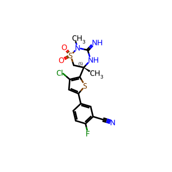 CN1C(=N)N[C@](C)(c2sc(-c3ccc(F)c(C#N)c3)cc2Cl)CS1(=O)=O